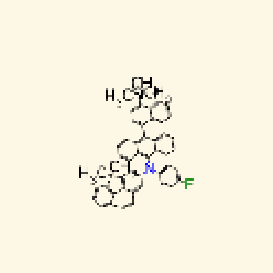 CC1(C)c2cccc3ccc4cc(N(c5ccc(F)cc5)c5c6ccccc6c(-c6ccc([Si](C)(C)C)c7ccccc67)c6ccccc56)cc1c4c23